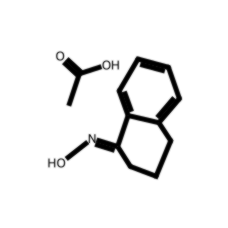 CC(=O)O.ON=C1CCCc2ccccc21